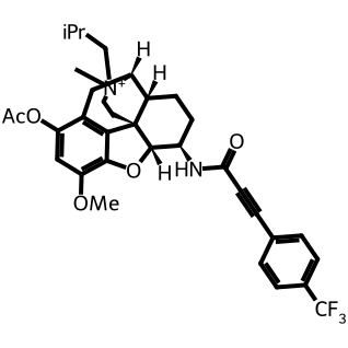 COc1cc(OC(C)=O)c2c3c1O[C@H]1[C@H](NC(=O)C#Cc4ccc(C(F)(F)F)cc4)CC[C@H]4[C@@H](C2)[N+](C)(CC(C)C)CC[C@@]341